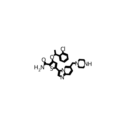 CC(Oc1cc(-c2cnc3ccc(CN4CCNCC4)cn23)sc1C(N)=O)c1ccccc1Cl